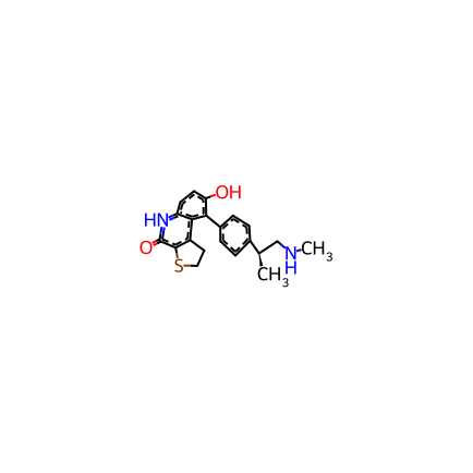 CNC[C@@H](C)c1ccc(-c2c(O)ccc3[nH]c(=O)c4c(c23)CCS4)cc1